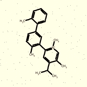 Cc1ccccc1-c1ccc(C)c(-c2cc(C(C)C)c(C)c[n+]2C)c1